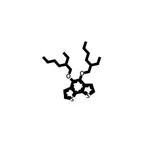 CCCCC(CC)COc1c(OCC(CC)CCCC)c2ccsc2c2sccc12